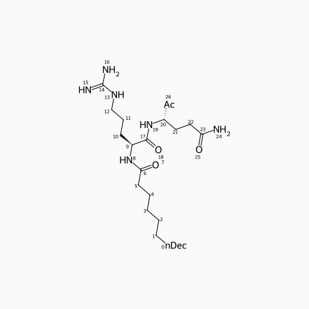 CCCCCCCCCCCCCCCC(=O)N[C@@H](CCCNC(=N)N)C(=O)N[C@@H](CCC(N)=O)C(C)=O